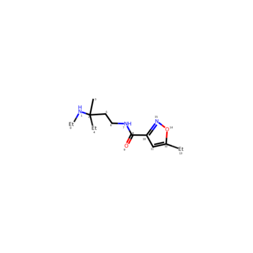 CCNC(C)(CC)CCNC(=O)c1cc(CC)on1